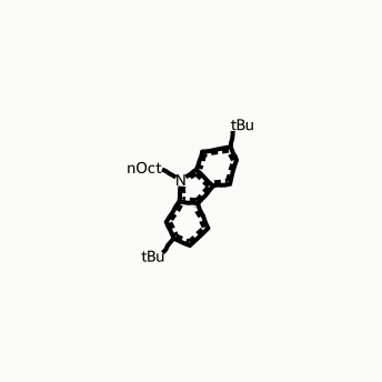 CCCCCCCCn1c2cc(C(C)(C)C)ccc2c2ccc(C(C)(C)C)cc21